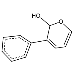 OC1OC=CC=C1c1ccccc1